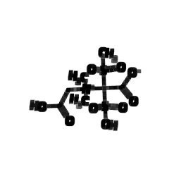 C[N+](C)(CC(=O)O)C(C(=O)[O-])(S(C)(=O)=O)S(=O)(=O)O